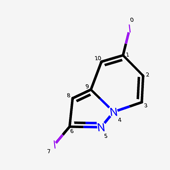 Ic1ccn2nc(I)cc2c1